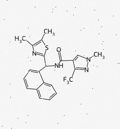 Cc1nc(C(NC(=O)c2cn(C)nc2C(F)(F)F)c2cccc3ccccc23)sc1C